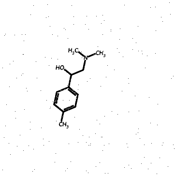 Cc1ccc(C(O)CN(C)C)cc1